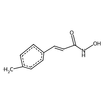 [CH2]c1ccc(/C=C/C(=O)NO)cc1